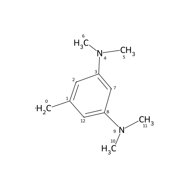 [CH2]c1cc(N(C)C)cc(N(C)C)c1